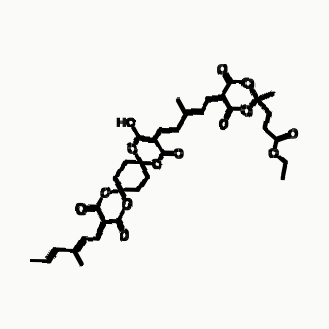 C/C=C/C(C)=C/C=C1C(=O)OC2(CCC3(CC2)OC(=O)C(/C=C/C(C)=C/C=C2C(=O)OC(C)(CCC(=O)OCC)OC2=O)=C(O)O3)OC1=O